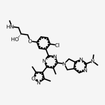 CNC[C@@H](O)COc1ccc(Cl)c(-c2nc(-c3c(C)noc3C)c(C)c(N3Cc4cnc(N(C)C)nc4C3)n2)c1